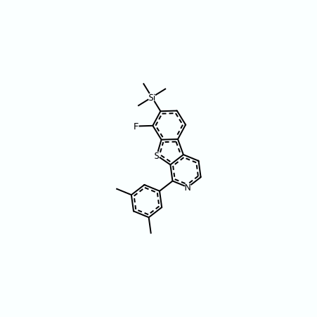 Cc1cc(C)cc(-c2nccc3c2sc2c(F)c([Si](C)(C)C)ccc23)c1